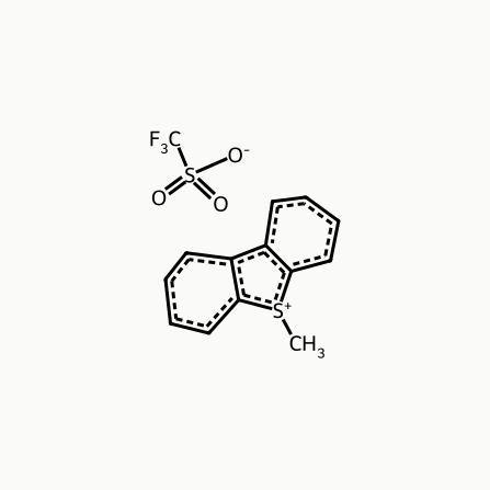 C[s+]1c2ccccc2c2ccccc21.O=S(=O)([O-])C(F)(F)F